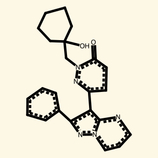 O=c1ccc(-c2c(-c3ccccc3)nn3cccnc23)nn1CC1(O)CCCCC1